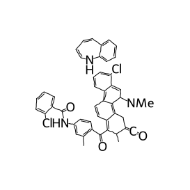 C1=CNc2ccccc2C=C1.CNC1C=c2c(Cl)cccc2=c2ccc3c(c21)CC(=C=O)C(C)C=3C(=O)c1ccc(NC(=O)c2ccccc2Cl)cc1C